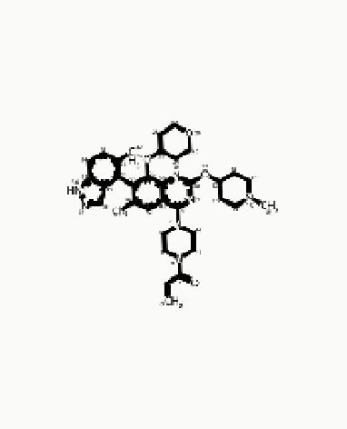 C=CC(=O)N1CCN(c2nc(OC3CCN(C)CC3)nc3c(OC4CCOCC4)c(-c4c(C)ccc5[nH]ncc45)c(Cl)cc23)CC1